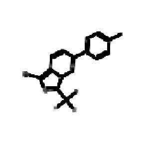 Cc1ccc(-c2ccc3c(Br)nc(C(F)(F)F)n3c2)cc1